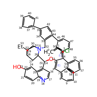 C=C/C(Cl)=C(\C(=C/c1ccccc1)O[C@@H](c1ccnc2ccc(O)cc12)C1CC2CC[N+]1(Cc1cc(-c3ccccc3)ccc1-c1ccccc1)CC2CC)c1ccccc1